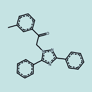 Cc1cccc(C(=O)Cn2nc(-c3ccccc3)nc2-c2ccccc2)c1